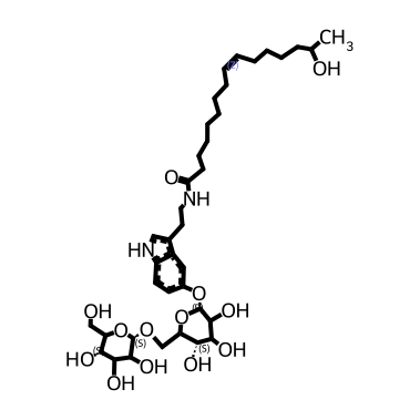 CC(O)CCCC/C=C\CCCCCCCC(=O)NCCc1c[nH]c2ccc(O[C@H]3OC(CO[C@H]4OC(CO)[C@@H](O)C(O)C4O)[C@@H](O)C(O)C3O)cc12